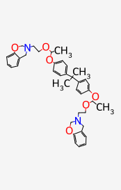 CC(OCCN1COc2ccccc2C1)Oc1ccc(C(C)(C)c2ccc(OC(C)OCCN3COc4ccccc4C3)cc2)cc1